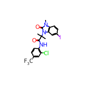 Cn1c(=O)n(C(C)(C)C(=O)Nc2ccc(C(F)(F)F)cc2Cl)c2cc(I)ccc21